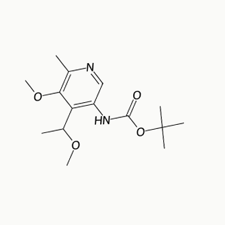 COc1c(C)ncc(NC(=O)OC(C)(C)C)c1C(C)OC